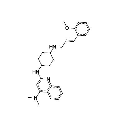 COc1ccccc1C=CCNC1CCC(Nc2cc(N(C)C)c3ccccc3n2)CC1